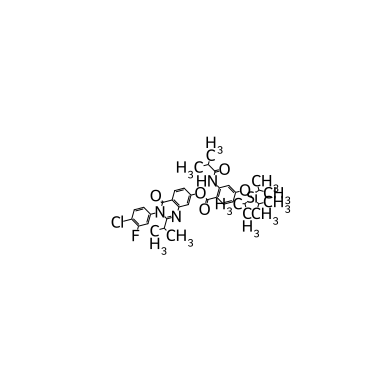 CC(C)C(=O)Nc1cc(O[Si](C(C)C)(C(C)C)C(C)C)ccc1C(=O)Oc1ccc2c(=O)n(-c3ccc(Cl)c(F)c3)c(C(C)C)nc2c1